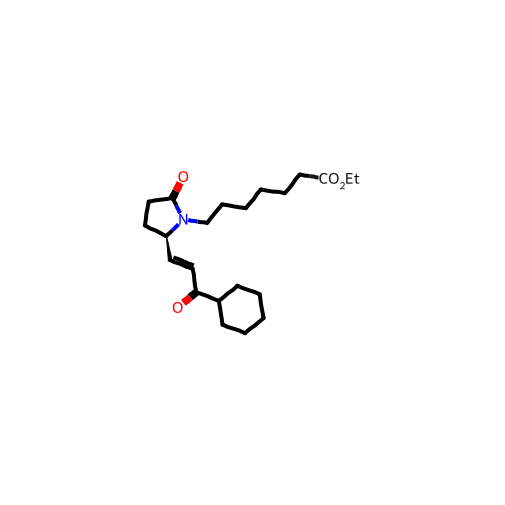 CCOC(=O)CCCCCCN1C(=O)CC[C@@H]1C=CC(=O)C1CCCCC1